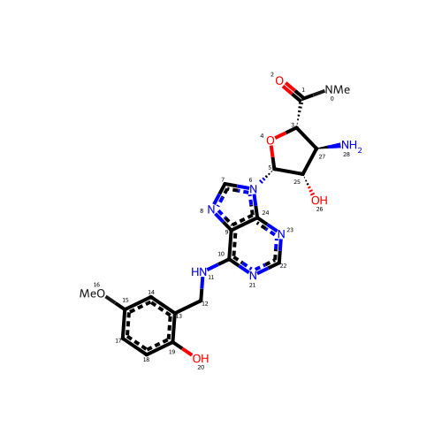 CNC(=O)[C@H]1O[C@@H](n2cnc3c(NCc4cc(OC)ccc4O)ncnc32)[C@@H](O)[C@@H]1N